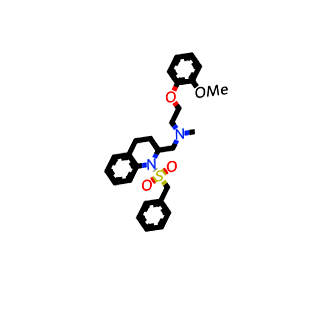 COc1ccccc1OCCN(C)CC1CCc2ccccc2N1S(=O)(=O)Cc1ccccc1